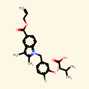 C=CCOC(=O)c1ccc2c(c1)c(C)c(C)n2Cc1ccc(Cl)c(O[C@H](C(=O)O)C(C)C)c1